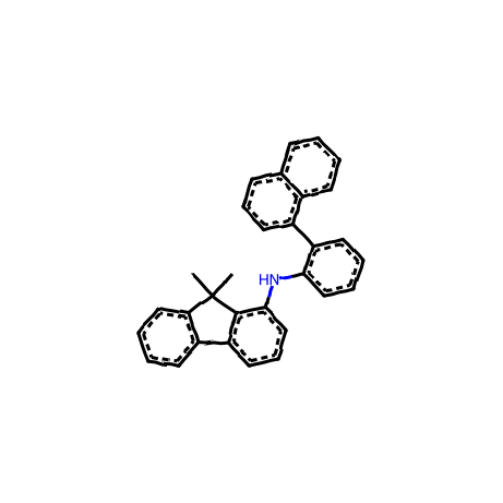 CC1(C)c2ccccc2-c2cccc(Nc3ccccc3-c3cccc4ccccc34)c21